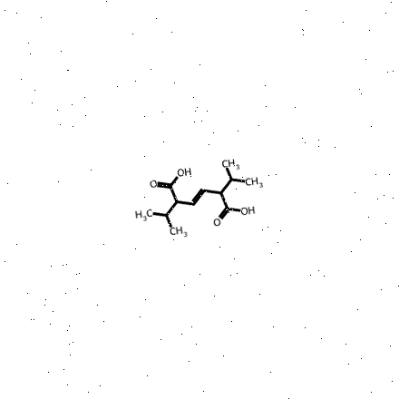 CC(C)C(C=CC(C(=O)O)C(C)C)C(=O)O